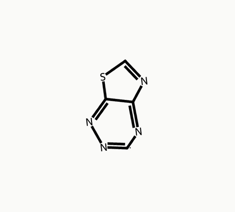 [c]1nnc2scnc2n1